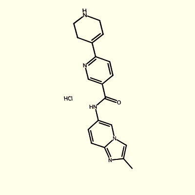 Cc1cn2cc(NC(=O)c3ccc(C4=CCNCC4)nc3)ccc2n1.Cl